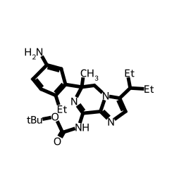 CCc1ccc(N)cc1C1(C)Cn2c(C(CC)CC)cnc2C(NC(=O)OC(C)(C)C)=N1